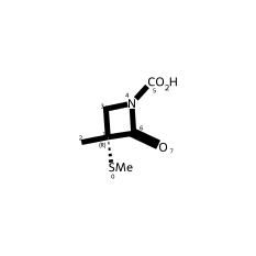 CS[C@]1(C)CN(C(=O)O)C1=O